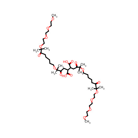 COCCOCCOCCOC(C)(C)C(=O)CCCCCOC(C)(C)C(=O)CC(C(=O)O)C(CC(=O)C(C)(C)OCCCCCC(=O)C(C)(C)OCCOCCOCCOC)C(=O)O